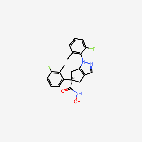 Cc1cccc(F)c1-n1ncc2c1C[C@](C(=O)NO)(c1cccc(F)c1C)C2